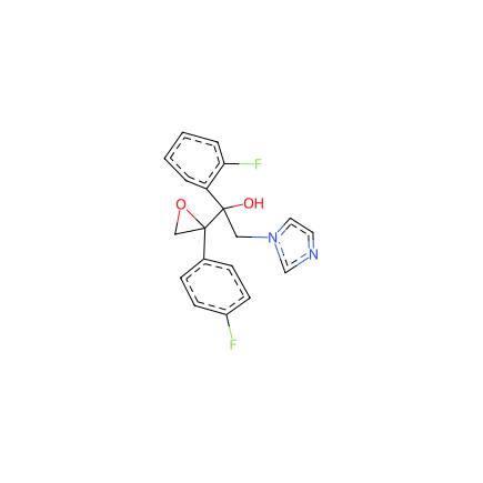 OC(Cn1ccnc1)(c1ccccc1F)C1(c2ccc(F)cc2)CO1